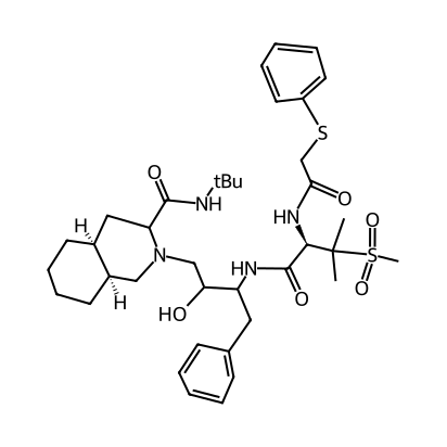 CC(C)(C)NC(=O)C1C[C@@H]2CCCC[C@@H]2CN1CC(O)C(Cc1ccccc1)NC(=O)[C@@H](NC(=O)CSc1ccccc1)C(C)(C)S(C)(=O)=O